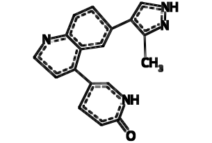 Cc1n[nH]cc1-c1ccc2nccc(-c3ccc(=O)[nH]c3)c2c1